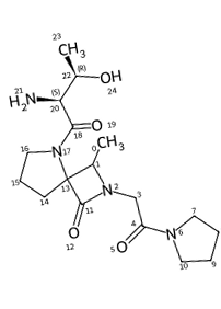 CC1N(CC(=O)N2CCCC2)C(=O)C12CCCN2C(=O)[C@@H](N)[C@@H](C)O